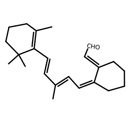 CC(C=CC1=C(C)CCCC1(C)C)=CC=C1CCCCC1=CC=O